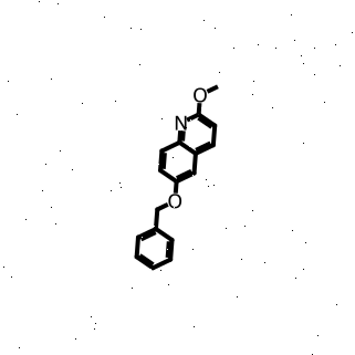 COc1ccc2cc(OCc3ccccc3)ccc2n1